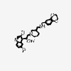 COc1ccc2ncc(Cl)c(C(O)CN3CCCC(CNCc4ccc5c(c4)OCCO5)C3)c2c1